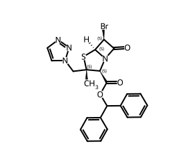 C[C@@]1(Cn2ccnn2)S[C@H]2[C@@H](Br)C(=O)N2[C@H]1C(=O)OC(c1ccccc1)c1ccccc1